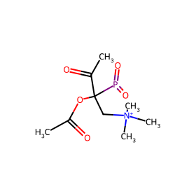 CC(=O)OC(C[N+](C)(C)C)(C(C)=O)P(=O)=O